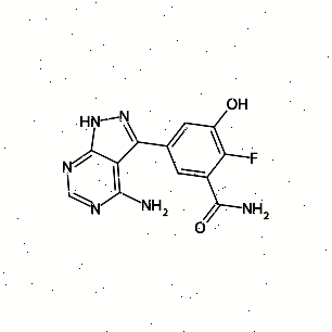 NC(=O)c1cc(-c2n[nH]c3ncnc(N)c23)cc(O)c1F